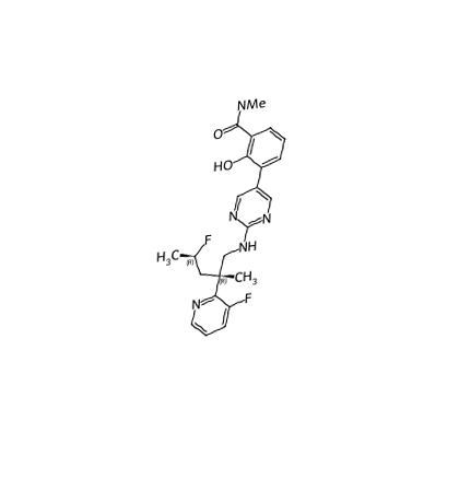 CNC(=O)c1cccc(-c2cnc(NC[C@@](C)(C[C@@H](C)F)c3ncccc3F)nc2)c1O